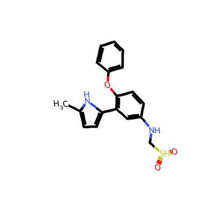 Cc1ccc(-c2cc(NC[SH](=O)=O)ccc2Oc2ccccc2)[nH]1